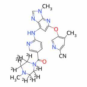 [2H]C1([2H])N(C)C([2H])([2H])C([2H])([2H])N(C(=O)c2ccc(Nc3cc(Oc4cnc(C#N)cc4C)nc4c3ncn4C)nc2)C1([2H])[2H]